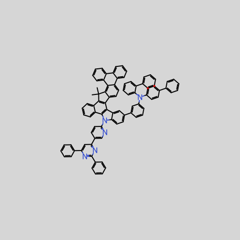 CC1(C)c2c(c3c4cc(-c5cccc(N(c6ccc(-c7ccccc7)cc6)c6ccccc6-c6ccccc6)c5)ccc4n(-c4ccc(-c5cc(-c6ccccc6)nc(-c6ccccc6)n5)cn4)c3c3ccccc23)-c2ccc3c4ccccc4c4ccccc4c3c21